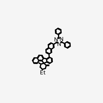 C=C1CC(CC)CC(C)C12c1cccc(-c3ccc4ccc(-c5nc(-c6ccccc6)nc(-c6ccccc6)n5)cc4c3)c1-c1ccc3ccccc3c12